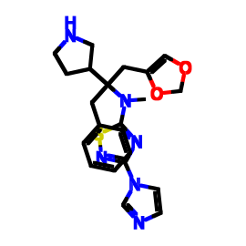 CN(c1nc(-n2ccnc2)ns1)C(CC1=COCO1)(Cc1ccccc1)C1CCNC1